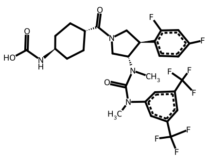 CN(C(=O)N(C)[C@@H]1CN(C(=O)[C@H]2CC[C@H](NC(=O)O)CC2)C[C@H]1c1ccc(F)cc1F)c1cc(C(F)(F)F)cc(C(F)(F)F)c1